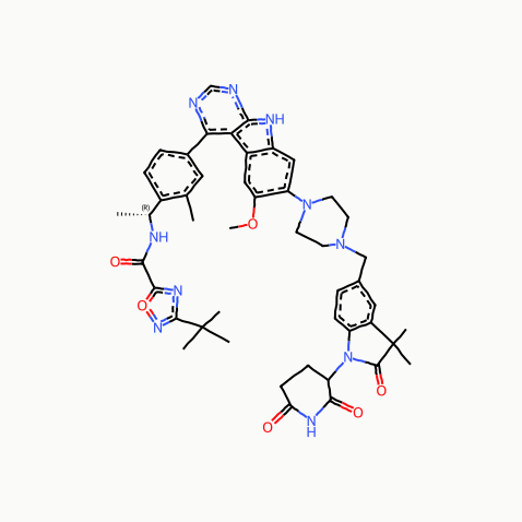 COc1cc2c(cc1N1CCN(Cc3ccc4c(c3)C(C)(C)C(=O)N4C3CCC(=O)NC3=O)CC1)[nH]c1ncnc(-c3ccc([C@@H](C)NC(=O)c4nc(C(C)(C)C)no4)c(C)c3)c12